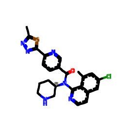 Cc1nnc(-c2ccc(C(=O)N(c3nccc4cc(Cl)cc(C)c34)[C@@H]3CCCNC3)cn2)s1